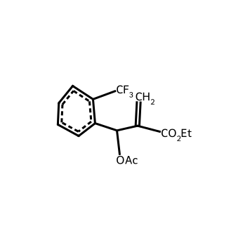 C=C(C(=O)OCC)C(OC(C)=O)c1ccccc1C(F)(F)F